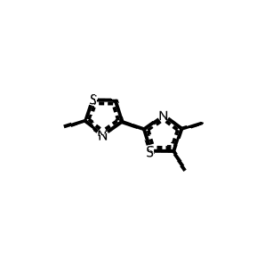 Cc1nc(-c2nc(C)c(C)s2)cs1